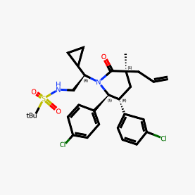 C=CC[C@@]1(C)C[C@H](c2cccc(Cl)c2)[C@@H](c2ccc(Cl)cc2)N([C@@H](CNS(=O)(=O)C(C)(C)C)C2CC2)C1=O